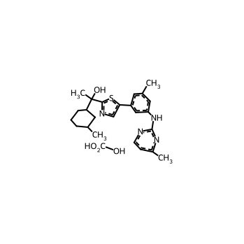 Cc1cc(Nc2nccc(C)n2)cc(-c2cnc(C(C)(O)C3CCCC(C)C3)s2)c1.O=C(O)O